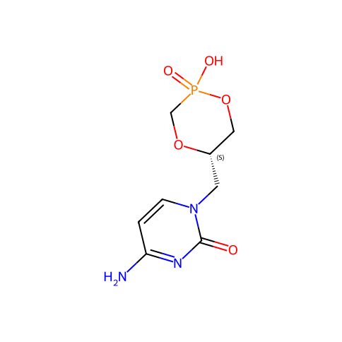 Nc1ccn(C[C@H]2COP(=O)(O)CO2)c(=O)n1